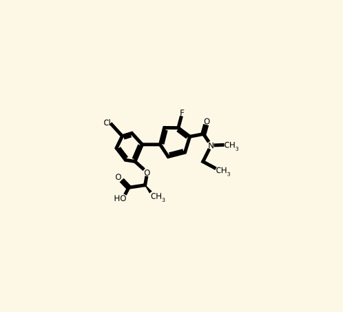 CCN(C)C(=O)c1ccc(-c2cc(Cl)ccc2O[C@@H](C)C(=O)O)cc1F